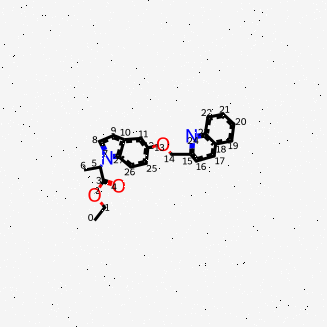 CCOC(=O)C(C)n1ccc2cc(OCc3ccc4ccccc4n3)ccc21